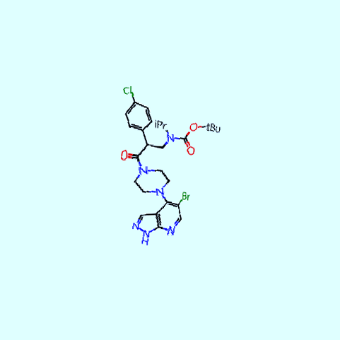 CC(C)N(C[C@@H](C(=O)N1CCN(c2c(Br)cnc3[nH]ncc23)CC1)c1ccc(Cl)cc1)C(=O)OC(C)(C)C